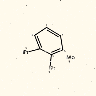 CC(C)c1ccccc1C(C)C.[Mo]